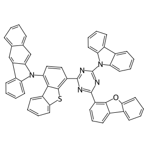 c1ccc2cc3c(cc2c1)c1ccccc1n3-c1ccc(-c2nc(-c3cccc4c3oc3ccccc34)nc(-n3c4ccccc4c4ccccc43)n2)c2sc3ccccc3c12